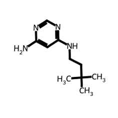 CC(C)(C)CCNc1cc(N)ncn1